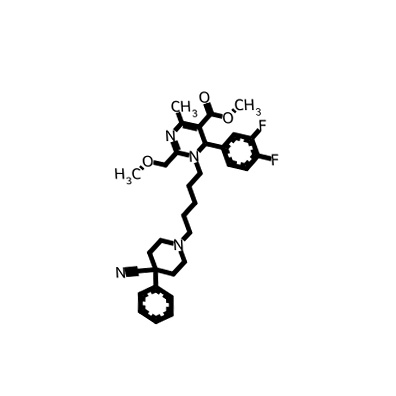 COCC1=NC(C)=C(C(=O)OC)C(c2ccc(F)c(F)c2)N1CCCCCN1CCC(C#N)(c2ccccc2)CC1